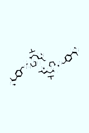 Cc1cc([C@H](C(=O)N2C[C@H](OCc3cc([C@H](C(=O)N4C[C@H](O)C[C@H]4C(=O)NCc4ccc(-c5scnc5C)cc4)C(C)(C)C)on3)C[C@H]2C(=O)NCc2ccc(-c3ocnc3C)cc2)C(C)(C)C)on1